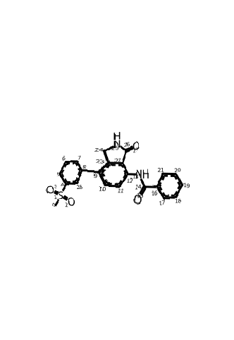 CS(=O)(=O)c1cccc(-c2ccc(NC(=O)c3ccccc3)c3c2CNC3=O)c1